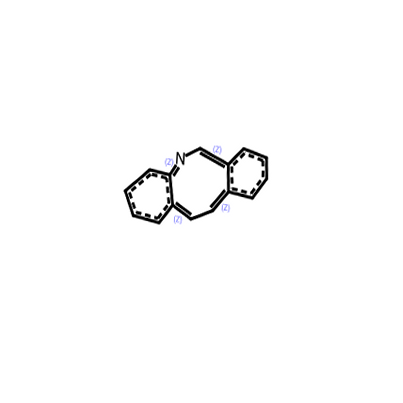 C1=c2/cccc/c2=C/N=c2/cccc/c2=C/1